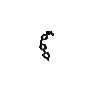 CC1CCC(c2ccc(Cc3ccc(N)cc3)cc2)CC1